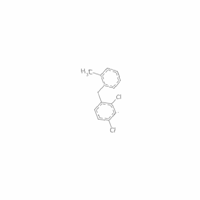 Cc1ccccc1Cc1ccc(Cl)[c]c1Cl